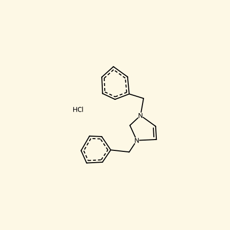 C1=CN(Cc2ccccc2)CN1Cc1ccccc1.Cl